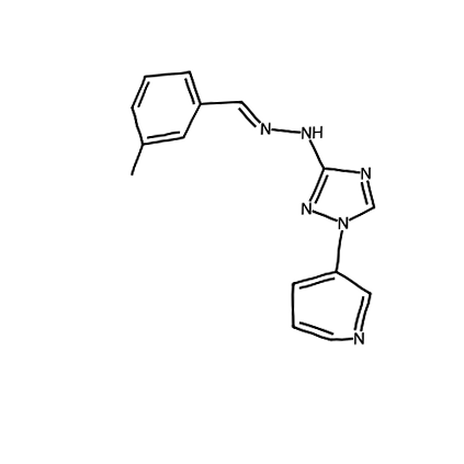 Cc1cccc(C=NNc2ncn(-c3cccnc3)n2)c1